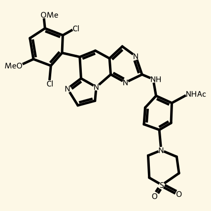 COc1cc(OC)c(Cl)c(-c2cc3cnc(Nc4ccc(N5CCS(=O)(=O)CC5)cc4NC(C)=O)nc3n3ccnc23)c1Cl